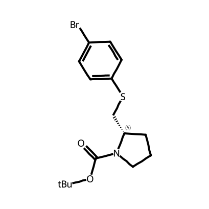 CC(C)(C)OC(=O)N1CCC[C@H]1CSc1ccc(Br)cc1